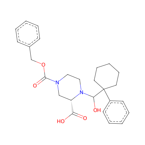 O=C(O)[C@@H]1CN(C(=O)OCc2ccccc2)CCN1C(O)C1(c2ccccc2)CCCCC1